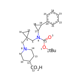 CC(C)(C)OC(=O)N(CC1(CN2CCC(C(=O)O)CC2)CC1)C1CC1c1ccccc1